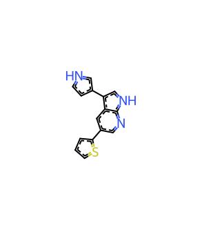 c1csc(-c2cnc3[nH]cc(-c4cc[nH]c4)c3c2)c1